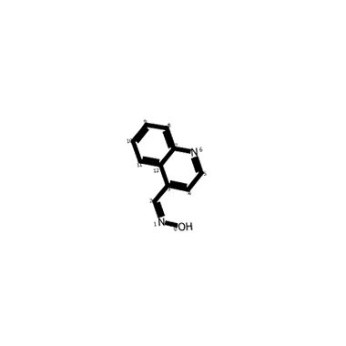 O/N=C\c1ccnc2ccccc12